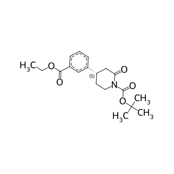 CCOC(=O)c1cccc([C@H]2CCN(C(=O)OC(C)(C)C)C(=O)C2)c1